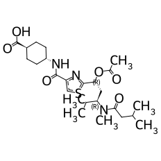 CC(=O)O[C@H](C[C@H](C(C)C)N(C)C(=O)CC(C)C)c1nc(C(=O)N[C@H]2CC[C@H](C(=O)O)CC2)cs1